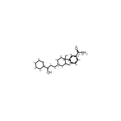 CC1CN(CCC(O)C2CCCCC2)CCC1(C)c1cccc(C(N)=O)c1